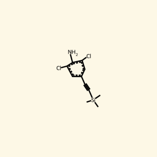 C[Si](C)(C)C#Cc1cc(Cl)c(N)c(Cl)c1